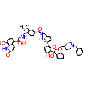 Cc1cc(C(=O)NCc2ccc(-c3cccc(C(O)(C(=O)OCC4CCN(Cc5ccccc5)CC4)c4ccccc4)c3)s2)ccc1CNC[C@H](O)c1ccc(O)c2[nH]c(=O)ccc12